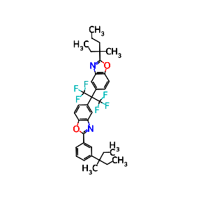 CCCC(C)(CC)c1nc2cc(C(c3ccc4oc(-c5cccc(C(C)(CC)CC)c5)nc4c3)(C(F)(F)F)C(F)(F)F)ccc2o1